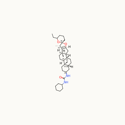 CCC1CCC[C@@]2(O1)O[C@H]1C[C@H]3[C@@H]4CC[C@@H]5C[C@@H](NC(=O)NC6CCCCC6)CC[C@]5(C)[C@H]4CC[C@]3(C)[C@H]1[C@@H]2C